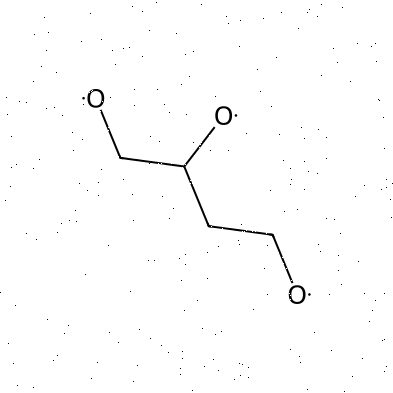 [O]CCC([O])C[O]